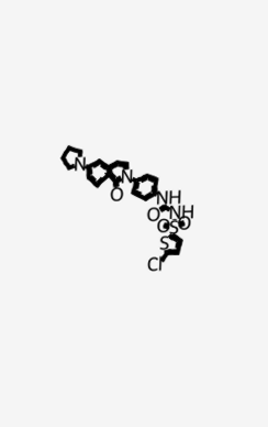 O=C(Nc1ccc(-n2ccc3cc(N4CCCC4)ccc3c2=O)cc1)NS(=O)(=O)c1ccc(Cl)s1